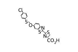 O=C(O)[C@H]1CSC(c2nc3ccc(OCSc4ccc(Cl)cc4)cc3s2)=N1